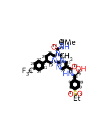 CCS(=O)(=O)c1ccc([C@H](CO)NC(=O)c2cnc(N3CC(c4ccc(C(F)(F)F)cc4)CC[C@@H]3N(C)C(=O)NOC)nc2)cc1